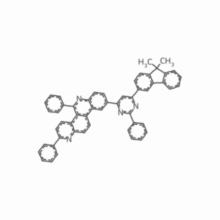 CC1(C)c2ccccc2-c2cc(-c3cc(-c4ccc5nc(-c6ccccc6)c6c7ccc(-c8ccccc8)nc7ccc6c5c4)nc(-c4ccccc4)n3)ccc21